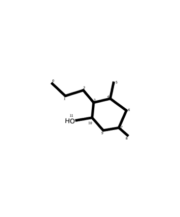 CCCC1C(C)CC(C)CC1O